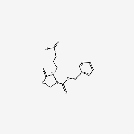 O=C(Cl)CCC[C@H]1C(=O)OCN1C(=O)OCc1ccccc1